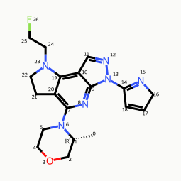 C[C@@H]1COCCN1c1nc2c(cnn2C2=NCC=C2)c2c1CCN2CCF